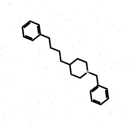 c1ccc(CCCCC2CCN(Cc3ccccc3)CC2)cc1